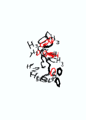 C=CCC(C(=O)C(C)(C)[C@H]1CCOC(C)(C)O1)[C@@H](O)[C@@H](C)CCCC(C)O[Si](c1ccccc1)(c1ccccc1)C(C)(C)C